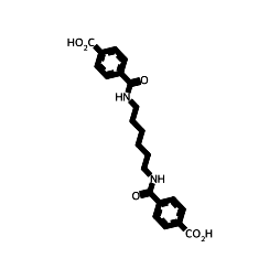 O=C(O)c1ccc(C(=O)NCCCCCCNC(=O)c2ccc(C(=O)O)cc2)cc1